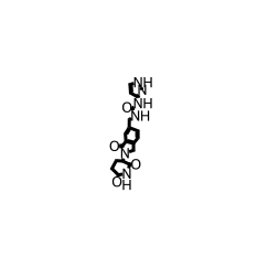 O=C1CCC(N2Cc3ccc(CNC(=O)Nc4cc[nH]n4)cc3C2=O)C(=O)N1